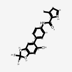 CC1=C(C(=O)Nc2ccc(-c3cc4c(cc3Cl)OC(F)(F)O4)cc2)N=CC1